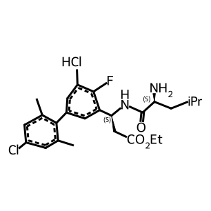 CCOC(=O)C[C@H](NC(=O)[C@@H](N)CC(C)C)c1cc(-c2c(C)cc(Cl)cc2C)cc(C)c1F.Cl